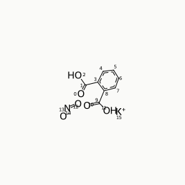 O=C(O)c1ccccc1C(=O)O.O=N[O-].[K+]